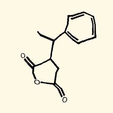 CC(c1ccccc1)C1CC(=O)OC1=O